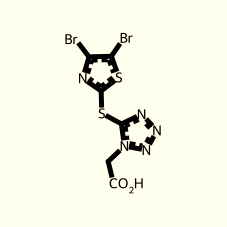 O=C(O)Cn1nnnc1Sc1nc(Br)c(Br)s1